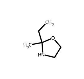 CCC1(C)NCCO1